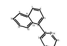 c1ccc(-c2cccc3ccccc23)pc1